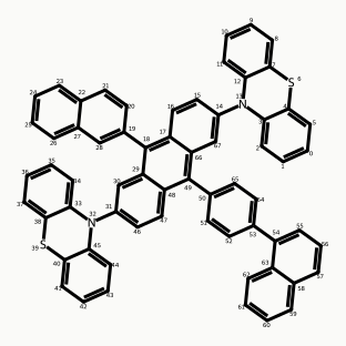 c1ccc2c(c1)Sc1ccccc1N2c1ccc2c(-c3ccc4ccccc4c3)c3cc(N4c5ccccc5Sc5ccccc54)ccc3c(-c3ccc(-c4cccc5ccccc45)cc3)c2c1